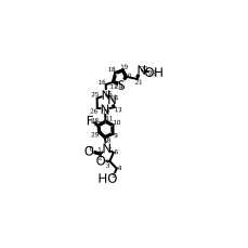 O=C1OC(CO)CN1c1ccc(N2C=NN(Cc3ccc(/C=N/O)s3)CC2)c(F)c1